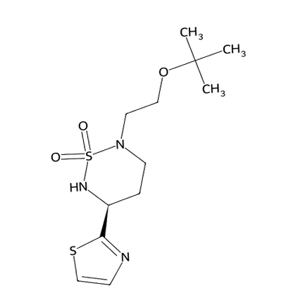 CC(C)(C)OCCN1CC[C@@H](c2nccs2)NS1(=O)=O